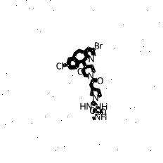 CNS(=O)(=O)NC(=N)N1CCC(CC(=O)N2CCC(C3c4ncc(Br)cc4CCc4cc(Cl)cc(Cl)c43)CC2)C1